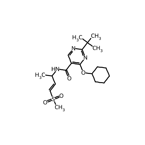 CC(C=CS(C)(=O)=O)NC(=O)c1cnc(C(C)(C)C)nc1OC1CCCCC1